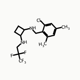 Cc1cc(C)c(CNC2CCC2NCC(F)(F)C(F)(F)F)c(Cl)c1